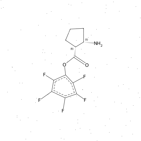 N[C@H]1CCC[C@H]1C(=O)Oc1c(F)c(F)c(F)c(F)c1F